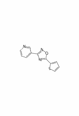 c1cncc(-c2noc(-c3cccs3)n2)c1